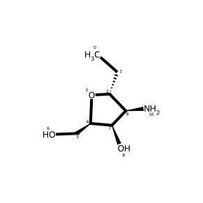 CC[C@H]1O[C@H](CO)[C@H](O)[C@@H]1N